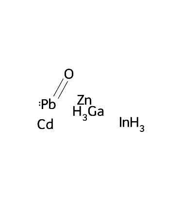 [Cd].[GaH3].[InH3].[O]=[Pb].[Zn]